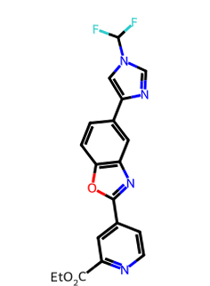 CCOC(=O)c1cc(-c2nc3cc(-c4cn(C(F)F)cn4)ccc3o2)ccn1